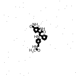 CC(=O)NCc1ccc(NC(=C2C(=O)Nc3cc(C(N)=O)ccc32)c2ccccc2)cc1